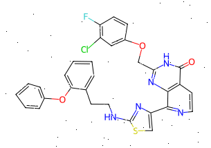 O=c1[nH]c(COc2ccc(F)c(Cl)c2)nc2c(-c3csc(NCCc4ccccc4Oc4ccccc4)n3)nccc12